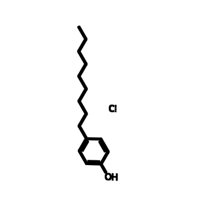 CCCCCCCCCc1ccc(O)cc1.[C]